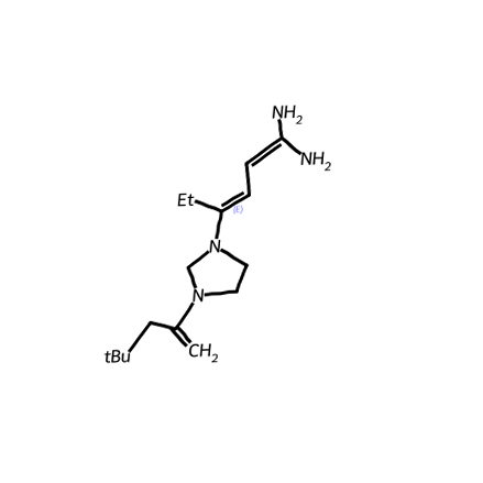 C=C(CC(C)(C)C)N1CCN(/C(=C/C=C(N)N)CC)C1